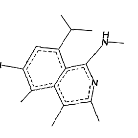 CNc1nc(C)c(C)c2c(C)c(I)cc(C(C)C)c12